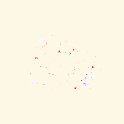 CC1(C)CC(C(CC(=O)O)(C(=O)O)C(C(=O)O)(C2CC(C)(C)NC(C)(C)C2)C(C(=O)O)(C2CC(C)(C)NC(C)(C)C2)C2CC(C)(C)NC(C)(C)C2)CC(C)(C)N1